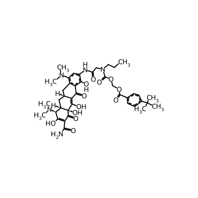 CCCN(CC(=O)Nc1cc(N(C)C)c2c(c1O)C(=O)C1=C(O)[C@]3(O)C(=O)C(C(N)=O)=C(O)[C@@H](N(C)C)[C@@H]3C[C@@H]1C2)C(=O)OCOC(=O)c1ccc(C(C)(C)C)cc1